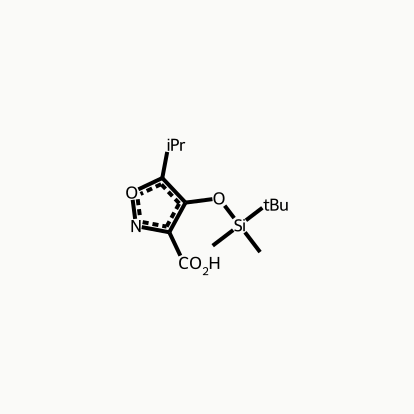 CC(C)c1onc(C(=O)O)c1O[Si](C)(C)C(C)(C)C